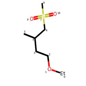 CCOCCC(C)CS(C)(=O)=O